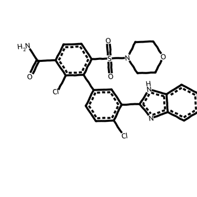 NC(=O)c1ccc(S(=O)(=O)N2CCOCC2)c(-c2ccc(Cl)c(-c3nc4ccccc4[nH]3)c2)c1Cl